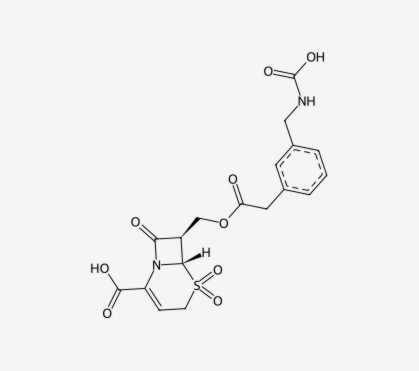 O=C(O)NCc1cccc(CC(=O)OC[C@@H]2C(=O)N3C(C(=O)O)=CCS(=O)(=O)[C@@H]23)c1